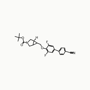 CC(C)(C)OC(=O)N1CC2C(COc3c(F)cc(-c4ccc(C#N)cc4)cc3F)[C@H]2C1